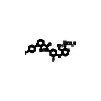 O=C(O)Nc1nccc(Oc2ccc(NC(=O)c3cccn(-c4ccc(F)cc4)c3=O)cc2F)c1CO